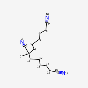 CC(C#N)(CCCCCC#N)CCCCCC#N